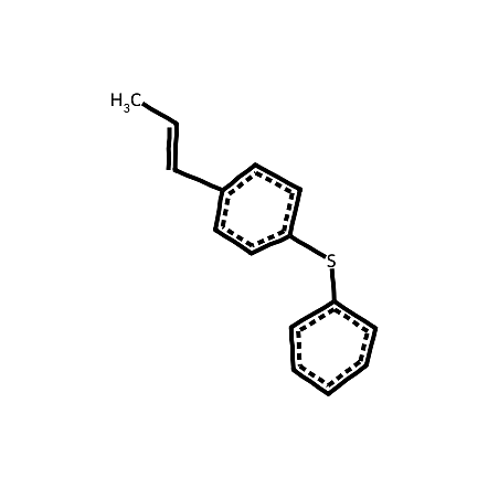 CC=Cc1ccc(Sc2ccccc2)cc1